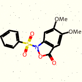 COc1cc2c(=O)on(S(=O)(=O)c3ccccc3)c2cc1OC